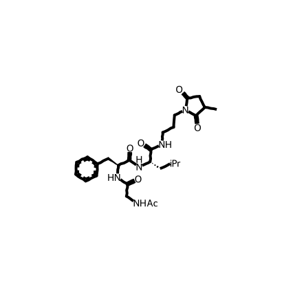 CC(=O)NCC(=O)N[C@@H](Cc1ccccc1)C(=O)N[C@@H](CC(C)C)C(=O)NCCCN1C(=O)CC(C)C1=O